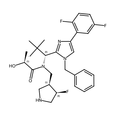 [CH2]C(C)(C)[C@H](c1nc(-c2cc(F)ccc2F)cn1Cc1ccccc1)N(C[C@@H]1CNC[C@@H]1F)C(=O)[C@H](C)O